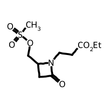 CCOC(=O)CCN1C(=O)CC1COS(C)(=O)=O